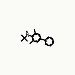 Cc1cc(-c2ccccc2)cc(C)c1N(C)C(C)(C)C